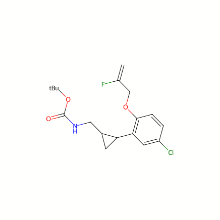 C=C(F)COc1ccc(Cl)cc1C1CC1CNC(=O)OC(C)(C)C